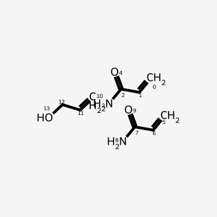 C=CC(N)=O.C=CC(N)=O.C=CCO